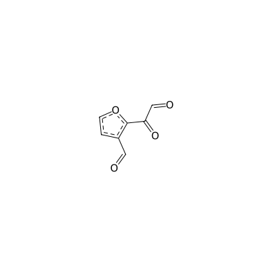 O=CC(=O)c1occc1C=O